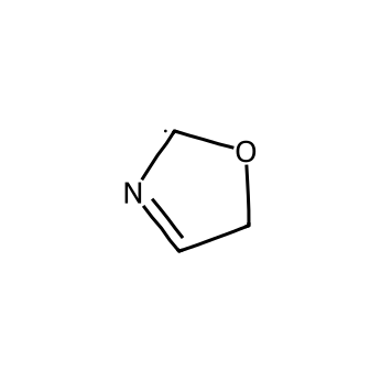 [CH]1N=CCO1